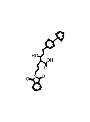 O=C(O)C(CCCN1C(=O)c2ccccc2C1=O)C(O)CCc1ccc(-c2ccccc2)cc1